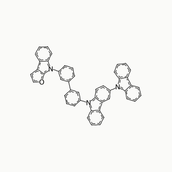 c1cc(-c2cccc(-n3c4ccccc4c4ccoc43)c2)cc(-n2c3ccccc3c3cc(-n4c5ccccc5c5ccccc54)ccc32)c1